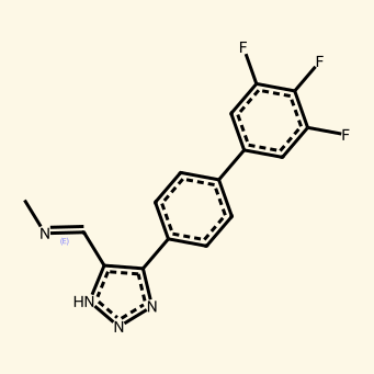 C/N=C/c1[nH]nnc1-c1ccc(-c2cc(F)c(F)c(F)c2)cc1